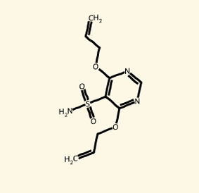 C=CCOc1ncnc(OCC=C)c1S(N)(=O)=O